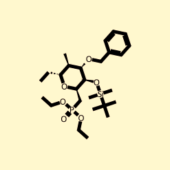 CCOP(=O)(C[C@H]1O[C@H](CC)[C@@H](C)[C@H](OCc2ccccc2)[C@H]1O[Si](C)(C)C(C)(C)C)OCC